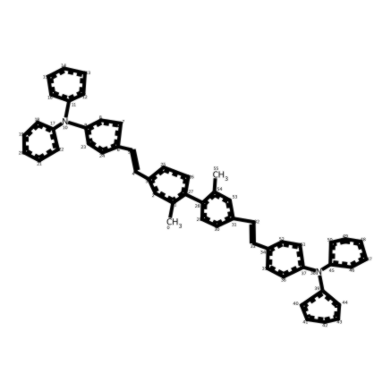 Cc1cc(C=Cc2ccc(N(c3ccccc3)c3ccccc3)cc2)ccc1-c1ccc(C=Cc2ccc(N(c3ccccc3)c3ccccc3)cc2)cc1C